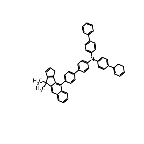 CC1(C)C2=C(CC=C2)c2c1cc1ccccc1c2-c1ccc(-c2ccc(N(c3ccc(C4=CC=CCC4)cc3)c3ccc(-c4ccccc4)cc3)cc2)cc1